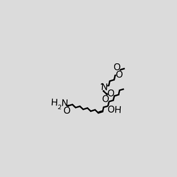 CCCCCC(OC(=O)CN(C)CCCCOC(C)=O)C(O)C/C=C\CCCCCCCC(N)=O